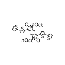 CCCCCCCCN1C(=O)C(c2ccc(-c3cccs3)s2)=c2cc3c(cc21)=C(c1ccc(-c2cccs2)s1)C(=O)N3CCCCCCCC